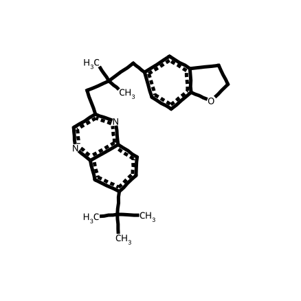 CC(C)(Cc1ccc2c(c1)CCO2)Cc1cnc2cc(C(C)(C)C)ccc2n1